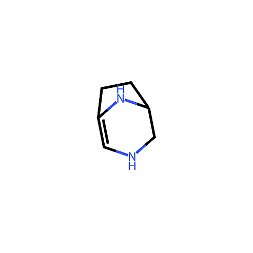 C1=C2CCC(CN1)N2